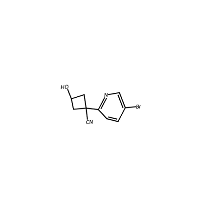 N#CC1(c2ccc(Br)cn2)CC(O)C1